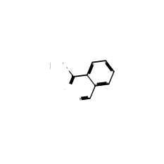 NC(=O)c1ccccc1C=O